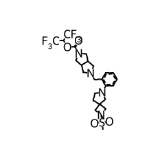 CS(=O)(=O)N1CC2(CCN(c3ccccc3CN3CC4CN(C(=O)OC(C(F)(F)F)C(F)(F)F)CC4C3)C2)C1